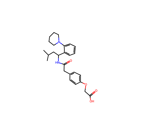 CC(C)CC(NC(=O)Cc1ccc(OCC(=O)O)cc1)c1ccccc1N1CCCCC1